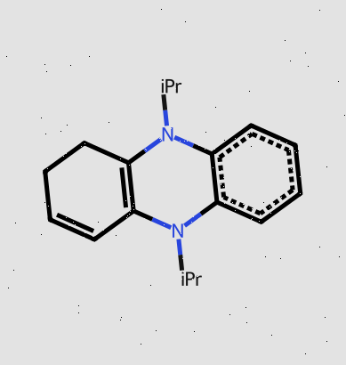 CC(C)N1C2=C(CCC=C2)N(C(C)C)c2ccccc21